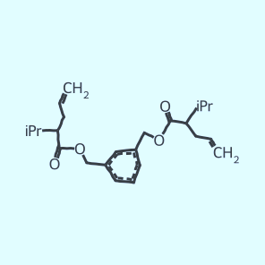 C=CCC(C(=O)OCc1cccc(COC(=O)C(CC=C)C(C)C)c1)C(C)C